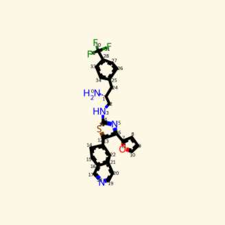 N[C@@H](CNc1nc(-c2ccco2)c(-c2ccc3cnccc3c2)s1)Cc1ccc(C(F)(F)F)cc1